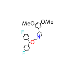 COc1cc(OC)cc(C2CCN(CCOC(c3ccc(F)cc3)c3ccc(F)cc3)C2)c1